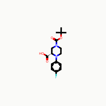 CC(C)(C)OC(=O)N1CCN(c2ccc(F)cc2)[C@H](C(=O)O)C1